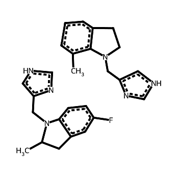 CC1Cc2cc(F)ccc2N1Cc1c[nH]cn1.Cc1cccc2c1N(Cc1c[nH]cn1)CC2